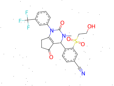 CN1C(=O)N(c2cccc(C(F)(F)F)c2)C2=C(C(=O)CC2)C1c1ccc(C#N)cc1S(=O)(=O)CCO